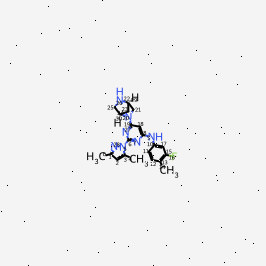 Cc1cc(C)n(-c2nc(Nc3ccc(C)c(F)c3)cc(N3C[C@H]4C[C@@H]3CN4)n2)n1